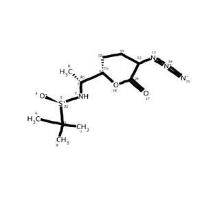 C[C@@H](N[S@+]([O-])C(C)(C)C)[C@@H]1CCC(N=[N+]=[N-])C(=O)O1